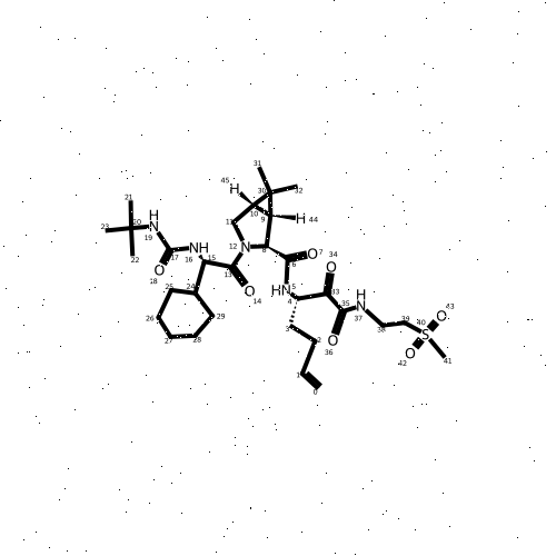 C=CCC[C@H](NC(=O)[C@@H]1[C@@H]2[C@H](CN1C(=O)[C@@H](NC(=O)NC(C)(C)C)C1CCCCC1)C2(C)C)C(=O)C(=O)NCCS(C)(=O)=O